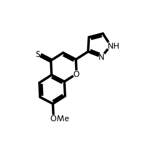 COc1ccc2c(=S)cc(-c3cc[nH]n3)oc2c1